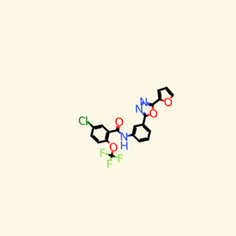 O=C(Nc1cccc(-c2nnc(-c3ccco3)o2)c1)c1cc(Cl)ccc1OC(F)(F)F